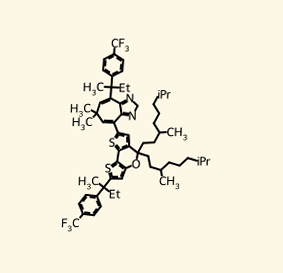 CCC(C)(C1=CC(C)(C)C=C(c2cc3c(s2)-c2sc(C(C)(CC)c4ccc(C(F)(F)F)cc4)cc2OC3(CCC(C)CCCC(C)C)CCC(C)CCCC(C)C)C2=NCN=C12)c1ccc(C(F)(F)F)cc1